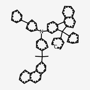 CC(C)(c1ccc(N(c2ccc(-c3ccccc3)cc2)c2ccc3c(c2)C(c2ccccc2)(c2ccccc2)c2ccc4ccccc4c2-3)cc1)c1ccc2ccc3ccccc3c2c1